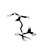 CON(C)C(=O)CCN(C(=O)O)C(C)(C)C